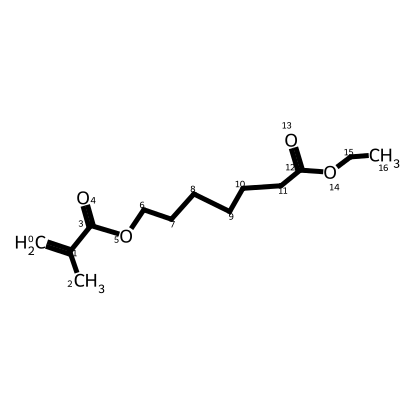 C=C(C)C(=O)OCCCCCCC(=O)OCC